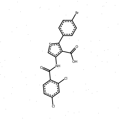 O=C(Nc1csc(-c2ccc(Br)cc2)c1C(=O)O)c1ccc(Cl)cc1Cl